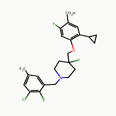 O=C(O)c1cc(C2CC2)c(OCC2(F)CCN(Cc3cc(C(F)(F)F)cc(Cl)c3F)CC2)cc1F